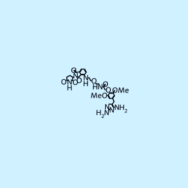 COc1cc(Cc2cnc(N)nc2N)cc(OC)c1OCC(=O)NCCOCCNc1cccc2c1C(=O)N(C1CCC(=O)NC1=O)C2=O